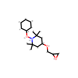 CC1(C)CC(OCC2CO2)CC(C)(C)N1OC1CCCCC1